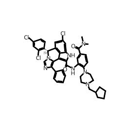 CN(C)C(=O)c1ccc(N2CCN(CC3CCCC3)CC2)c(NC(=O)c2[nH]c3cc(Cl)cc4c3c2-c2c(-c3ccccc3)ncn2[C@@H]4c2ccc(Cl)cc2Cl)c1